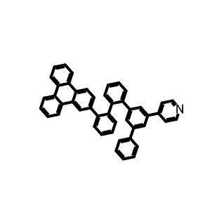 c1ccc(-c2cc(-c3ccncc3)cc(-c3ccccc3-c3ccccc3-c3ccc4c5ccccc5c5ccccc5c4c3)c2)cc1